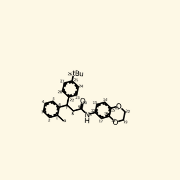 Cc1ccccc1C(CC(=O)Nc1ccc2c(c1)OCCO2)c1ccc(C(C)(C)C)cc1